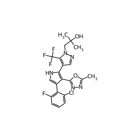 Cc1nnc(-c2c(-c3c(F)cccc3Cl)c[nH]c2-c2cnn(CC(C)(C)O)c2C(F)(F)F)o1